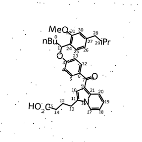 CCCCC(Oc1ccc(C(=O)c2cc(CCCC(=O)O)n3ccccc23)cc1)c1ccc(CC(C)C)cc1OC